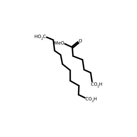 COC(=O)CCCCC(=O)O.O=C(O)CCCCCCCCC(=O)O